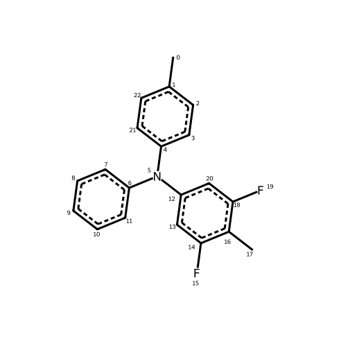 Cc1ccc(N(c2ccccc2)c2cc(F)c(C)c(F)c2)cc1